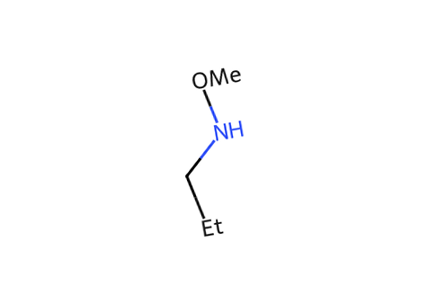 CCCNOC